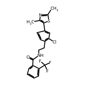 Cc1nc(C)c(-c2ccc(CCNC(=O)c3ccccc3C(F)(F)F)c(Cl)c2)s1